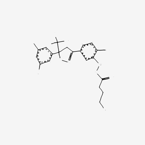 O=C(CCCBr)NNc1cc(C2=NOC(c3cc(Cl)cc(Cl)c3)(C(F)(F)F)C2)ccc1Cl